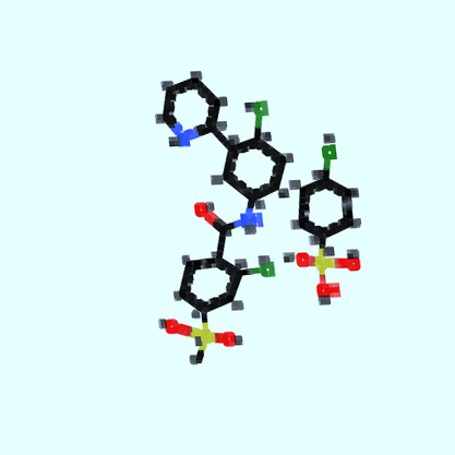 CS(=O)(=O)c1ccc(C(=O)Nc2ccc(Cl)c(-c3ccccn3)c2)c(Cl)c1.O=S(=O)(O)c1ccc(Cl)cc1